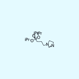 CC(C)O[Si](CCCN1C=NCC1)(OC(C)C)OC(C)C